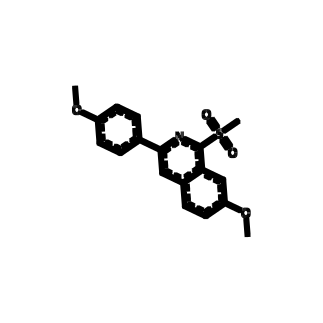 COc1ccc(-c2cc3ccc(OC)cc3c(S(C)(=O)=O)n2)cc1